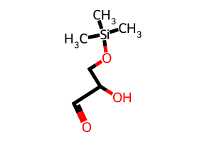 C[Si](C)(C)OCC(O)C=O